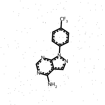 Nc1ncnc2c1cnn2-c1ccc(C(F)(F)F)cc1